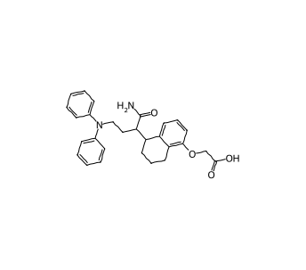 NC(=O)C(CCN(c1ccccc1)c1ccccc1)C1CCCc2c(OCC(=O)O)cccc21